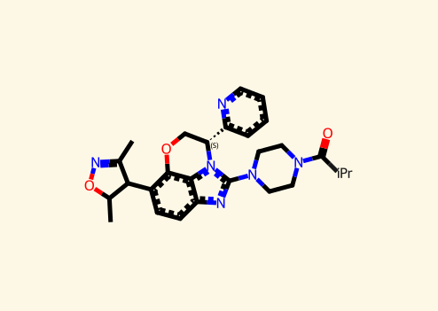 CC1=NOC(C)C1c1ccc2nc(N3CCN(C(=O)C(C)C)CC3)n3c2c1OC[C@@H]3c1ccccn1